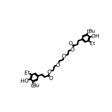 CCc1cc(CCC(=O)OCCOCCOCCOC(=O)CCc2cc(CC)c(O)c(C(C)(C)C)c2)cc(C(C)(C)C)c1O